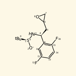 CC(C)(C)[S@+]([O-])N[C@@H](CC1CO1)c1cc(F)ccc1F